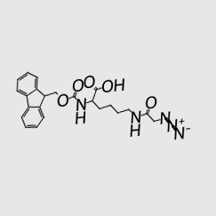 [N-]=[N+]=NCC(=O)NCCCCC(NC(=O)OCC1c2ccccc2-c2ccccc21)C(=O)O